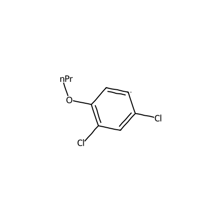 CCCOc1c[c]c(Cl)cc1Cl